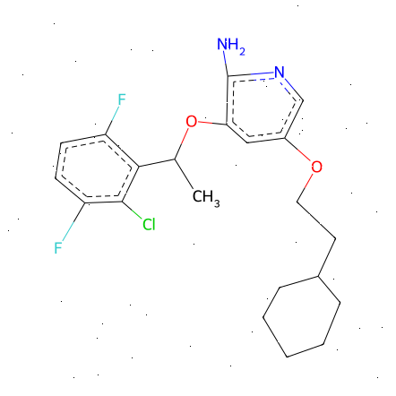 CC(Oc1cc(OCCC2CCCCC2)cnc1N)c1c(F)ccc(F)c1Cl